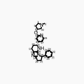 CN1CC[C@@H](Oc2cc([C@H]3CCc4nc5n(c4N3)C(c3ccccc3)CC5)ccn2)C1